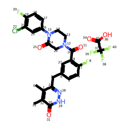 Cc1c(Cc2ccc(F)c(C(=O)N3CCN(c4ccc(F)c(Cl)c4)C(=O)C3)c2)n[nH]c(=O)c1C.O=C(O)C(F)(F)F